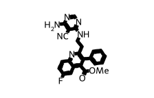 COC(=O)c1c(-c2ccccc2)c(CCNc2ncnc(N)c2C#N)nc2ccc(F)cc12